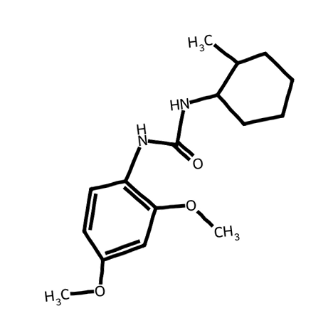 COc1ccc(NC(=O)NC2CCCCC2C)c(OC)c1